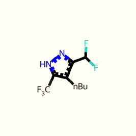 CCCCc1c(C(F)F)n[nH]c1C(F)(F)F